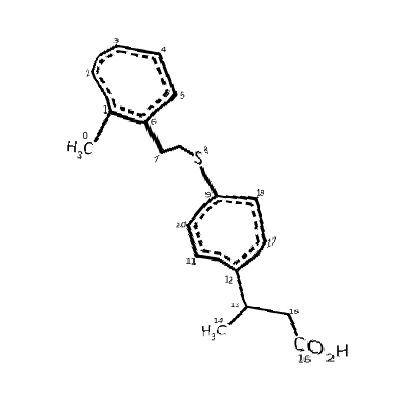 Cc1ccccc1CSc1ccc(C(C)CC(=O)O)cc1